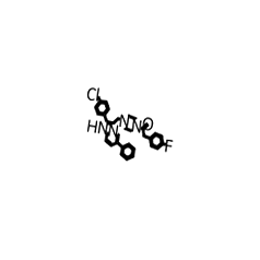 O=C(Cc1ccc(F)cc1)N1CCN(CC2=C(c3ccc(Cl)cc3)NC3C=CC(c4ccccc4)=CN23)CC1